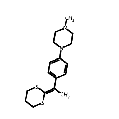 CC(=C1SCCCS1)c1ccc(N2CCN(C)CC2)cc1